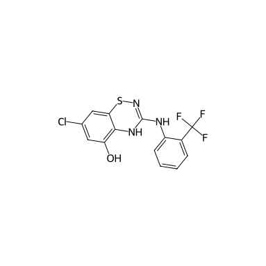 Oc1cc(Cl)cc2c1NC(Nc1ccccc1C(F)(F)F)=NS2